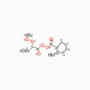 CCCCCCCCCCC(OOC(C)(C)C)C(=O)OOC(=O)c1ccccc1C(C)(C)C